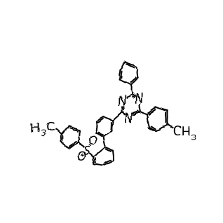 Cc1ccc(-c2nc(-c3ccccc3)nc(-c3cccc(-c4ccccc4S(=O)(=O)c4ccc(C)cc4)c3)n2)cc1